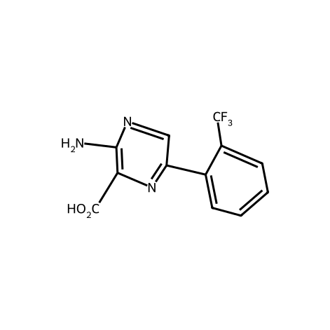 Nc1ncc(-c2ccccc2C(F)(F)F)nc1C(=O)O